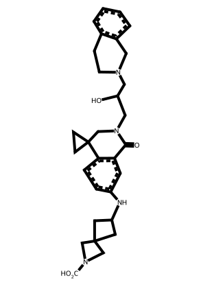 O=C(O)N1CC2(CC(Nc3ccc4c(c3)C(=O)N(CC(O)CN3CCc5ccccc5C3)CC43CC3)C2)C1